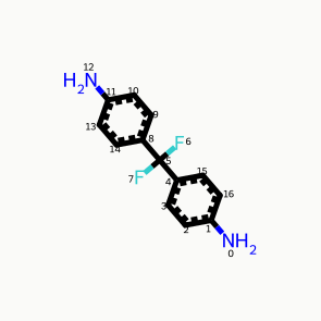 Nc1ccc(C(F)(F)c2ccc(N)cc2)cc1